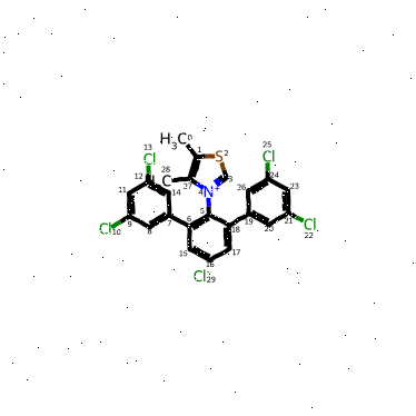 Cc1sc[n+](-c2c(-c3cc(Cl)cc(Cl)c3)cccc2-c2cc(Cl)cc(Cl)c2)c1C.[Cl-]